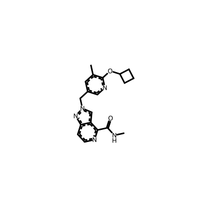 CNC(=O)c1nccc2nn(Cc3cnc(OC4CCC4)c(C)c3)cc12